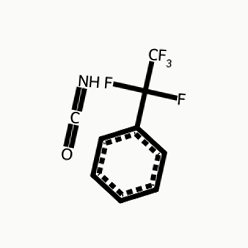 FC(F)(F)C(F)(F)c1ccccc1.N=C=O